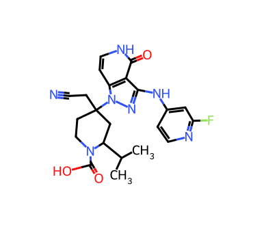 CC(C)C1CC(CC#N)(n2nc(Nc3ccnc(F)c3)c3c(=O)[nH]ccc32)CCN1C(=O)O